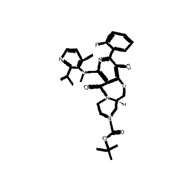 Cc1ccnc(C(C)C)c1N(C)c1nc(-c2ccccc2F)c(Cl)c2c1C(=O)N1CCN(C(=O)OC(C)(C)C)C[C@@H]1CO2